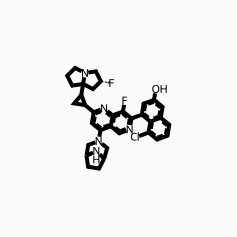 Oc1cc(-c2ncc3c(N4CC5CCC(C4)N5)cc(C4CC4C45CCCN4C[C@H](F)C5)nc3c2F)c2c(Cl)cccc2c1